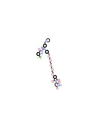 O=C1CCC(N2C(=O)c3ccc(OCCOCCOCCOCCOCc4ccc(-n5c(NC(=O)c6cccc(C(F)(F)F)c6)nc6cc(CN7CCCCC7)ccc65)cc4)cc3C2=O)C(=O)N1